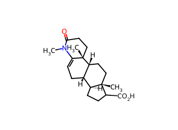 CN1C(=O)CC[C@@]2(C)C1=CC[C@@H]1[C@H]2CC[C@]2(C)C(C(=O)O)CC[C@@H]12